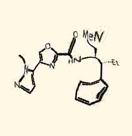 CC[C@H](c1ccccc1)[C@H](CNC)NC(=O)c1nc(-c2ccnn2C)co1